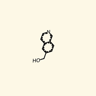 OCc1ccc2cnccc2c1